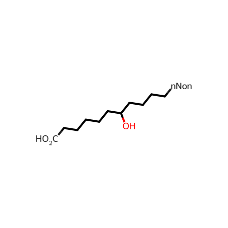 CCCCCCCCCCCCCC(O)CCCCCC(=O)O